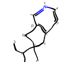 CC(C)C1(C)Cc2ccncc2C1